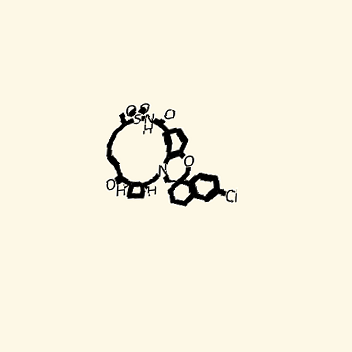 CC1CC/C=C/C(=O)[C@@H]2CC[C@H]2CN2C[C@@]3(CCCc4cc(Cl)ccc43)COc3ccc(cc32)C(=O)NS1(=O)=O